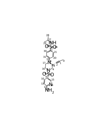 CC#C[C@@H]1CN(S(=O)(=O)c2ccc(N)nc2)CCN1c1ccc(S(=O)(=O)NC(C)C)cc1